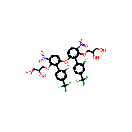 O=[N+]([O-])c1ccc(Oc2ccc([N+](=O)[O-])c(OCC(O)CO)c2-c2ccc(C(F)(F)F)cc2Cl)c(-c2ccc(C(F)(F)F)cc2Cl)c1OCC(O)CO